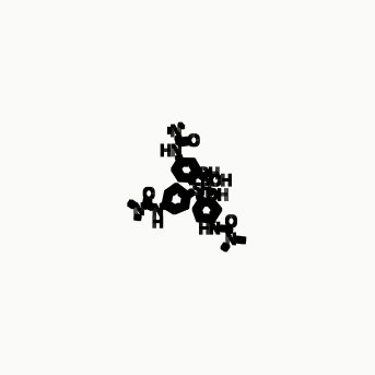 CN(C)C(=O)Nc1ccc([SH](c2ccc(NC(=O)N(C)C)cc2)(c2ccc(NC(=O)N(C)C)cc2)=P(O)(O)O)cc1